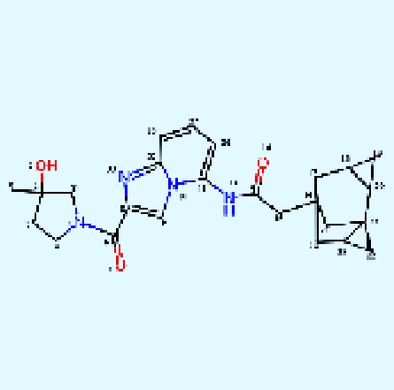 CC1(O)CCN(C(=O)c2cn3c(NC(=O)CC45CC6CC6[C@@]6(CC6C4)C5)cccc3n2)C1